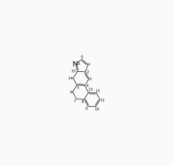 C1=CC2=CC3=C(CCc4ccccc43)CC2=N1